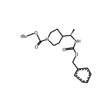 C[C@@H](NC(=O)OCc1ccccc1)C1CCN(C(=O)OC(C)(C)C)CC1